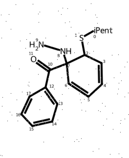 CCCC(C)SC1C=CC=CC1(NN)C(=O)c1ccccc1